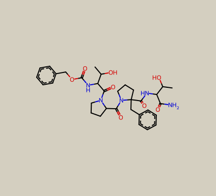 CC(O)C(NC(=O)C1(Cc2ccccc2)CCCN1C(=O)C1CCCN1C(=O)C(NC(=O)OCc1ccccc1)C(C)O)C(N)=O